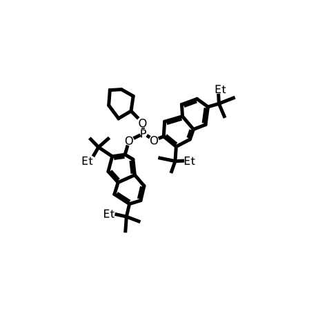 CCC(C)(C)c1ccc2cc(OP(Oc3cc4ccc(C(C)(C)CC)cc4cc3C(C)(C)CC)OC3CCCCC3)c(C(C)(C)CC)cc2c1